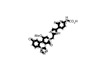 COc1cn(Cc2ncc(-c3ccc(NC(=O)O)nc3F)[nH]2)c(=O)cc1-c1cc(Cl)ccc1-n1cnnn1